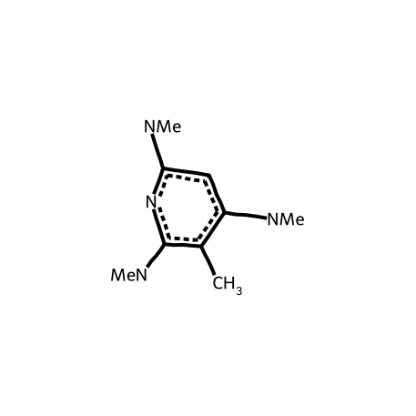 CNc1cc(NC)c(C)c(NC)n1